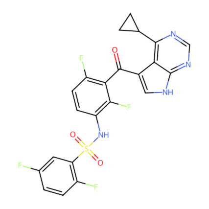 O=C(c1c(F)ccc(NS(=O)(=O)c2cc(F)ccc2F)c1F)c1c[nH]c2ncnc(C3CC3)c12